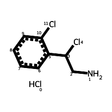 Cl.NCC(Cl)c1ccccc1Cl